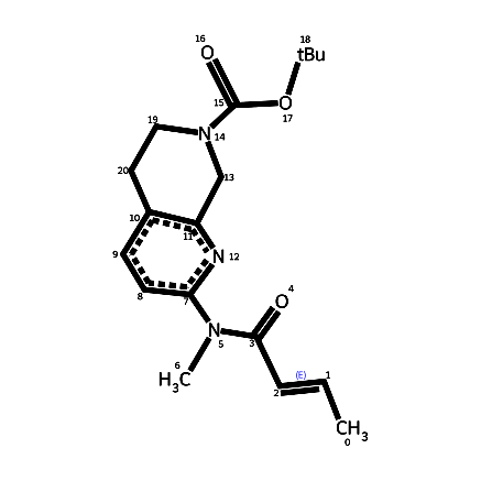 C/C=C/C(=O)N(C)c1ccc2c(n1)CN(C(=O)OC(C)(C)C)CC2